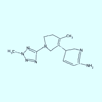 CC1=C(C2C=CC(N)=NC2)CN(c2nnn(C)n2)CC1